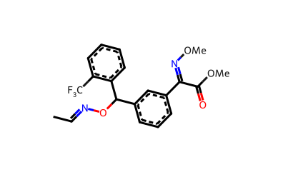 CC=NOC(c1cccc(C(=NOC)C(=O)OC)c1)c1ccccc1C(F)(F)F